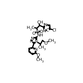 COCC(C)n1c(NS(=O)(=O)C(C)C(C)c2ncc(Cl)cn2)nnc1-c1cccc(OC)n1